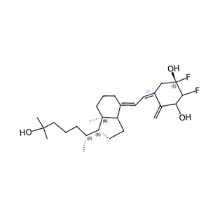 C=C1/C(=C\C=C2CCC[C@@]3(C)C2CC[C@@H]3[C@H](C)CCCC(C)(C)O)C[C@](O)(F)C(F)C1O